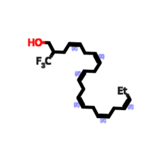 CC/C=C\C/C=C\C/C=C\C/C=C\C/C=C\C/C=C\CC(CO)C(F)(F)F